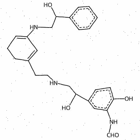 O=CNc1cc(C(O)CNCCC2=CC(NCC(O)c3ccccc3)=CC[CH]2)ccc1O